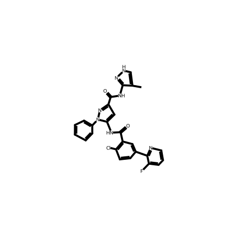 Cc1c[nH]nc1NC(=O)c1cc(NC(=O)c2cc(-c3ncccc3F)ccc2Cl)n(-c2ccccc2)n1